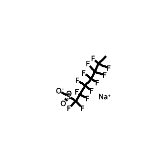 CC(F)(F)C(F)(F)C(F)(F)C(F)(F)C(F)(F)C(F)(F)S(=O)(=O)[O-].[Na+]